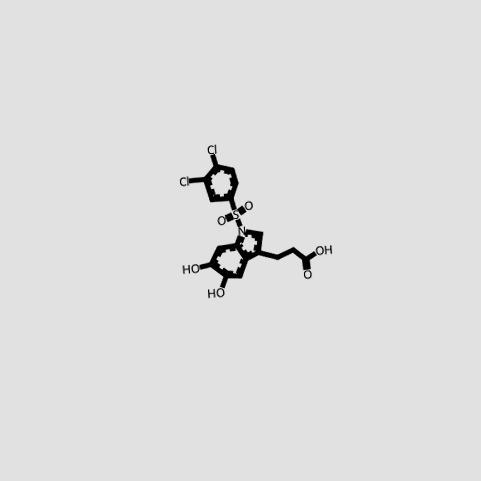 O=C(O)CCc1cn(S(=O)(=O)c2ccc(Cl)c(Cl)c2)c2cc(O)c(O)cc12